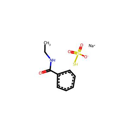 CCNC(=O)c1ccccc1.O=S(=O)([O-])S.[Na+]